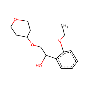 CCOc1ccccc1C(O)COC1CCOCC1